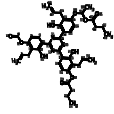 C=CCc1c(OC=O)ccc(-c2nc(-c3ccc(OC(=O)CCC)c(CC=C)c3O)nc(-c3ccc(OC(C)OC(=O)CCC)c(CC=C)c3O)n2)c1O